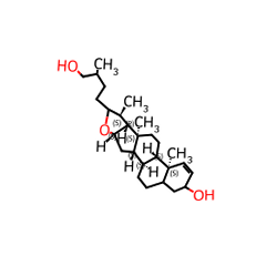 CC(CO)CCC1O[C@H]2C[C@H]3[C@@H]4CCC5CC(O)C=C[C@]5(C)[C@H]4CC[C@]3(C)[C@H]2[C@@H]1C